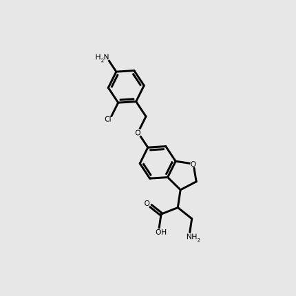 NCC(C(=O)O)C1COc2cc(OCc3ccc(N)cc3Cl)ccc21